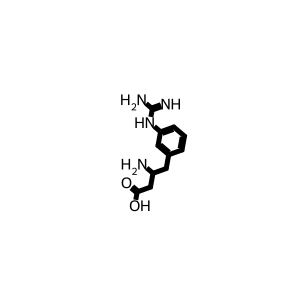 N=C(N)Nc1cccc(CC(N)CC(=O)O)c1